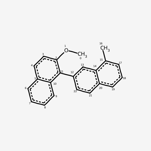 COc1ccc2ccccc2c1-c1[c]c2c(C)cccc2cc1